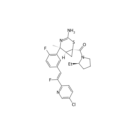 CC[C@@H]1CCCN1C(=O)[C@]12C[C@H]1[C@@](C)(c1cc(/C=C(\F)c3ccc(Cl)cn3)ccc1F)N=C(N)S2